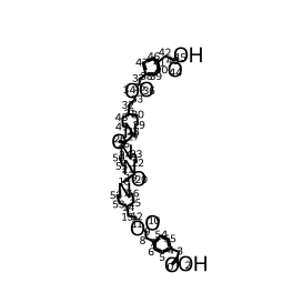 O=C(O)Cc1ccc(CC(=O)OCCC2CCN(CC(=O)N3CCN(C(=O)CN4CCC(CCOC(=O)Cc5ccc(CC(=O)O)cc5)CC4)CC3)CC2)cc1